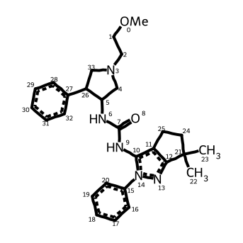 COCCN1CC(NC(=O)Nc2c3c(nn2-c2ccccc2)C(C)(C)CC3)C(c2ccccc2)C1